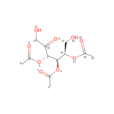 CC(=O)O[C@@H]([C@H](OC(C)=O)C(=O)CO)[C@@H](CO)OC(C)=O